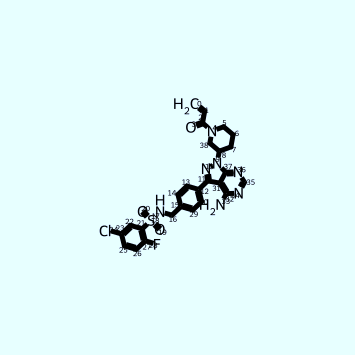 C=CC(=O)N1CCCC(n2nc(-c3ccc(CNS(=O)(=O)c4cc(Cl)ccc4F)cc3)c3c(N)ncnc32)C1